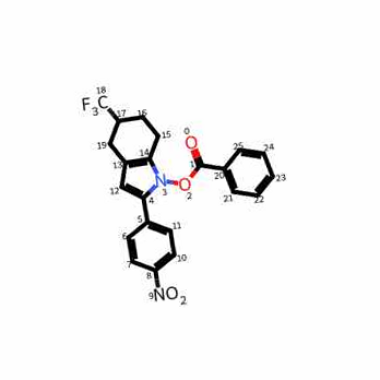 O=C(On1c(-c2ccc([N+](=O)[O-])cc2)cc2c1CCC(C(F)(F)F)C2)c1ccccc1